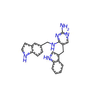 Nc1ncc(Cc2c[nH]c3ccccc23)c(NCc2ccc3[nH]ccc3c2)n1